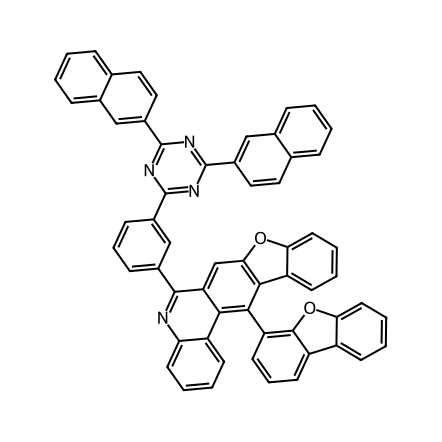 c1cc(-c2nc(-c3ccc4ccccc4c3)nc(-c3ccc4ccccc4c3)n2)cc(-c2nc3ccccc3c3c(-c4cccc5c4oc4ccccc45)c4c(cc23)oc2ccccc24)c1